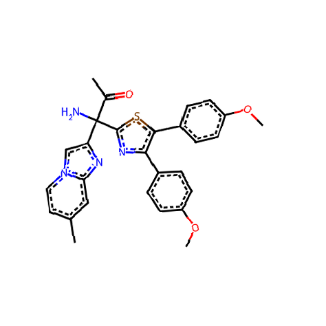 COc1ccc(-c2nc(C(N)(C(C)=O)c3cn4ccc(C)cc4n3)sc2-c2ccc(OC)cc2)cc1